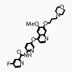 COc1cc2c(Oc3ccc(NC(=O)c4cc(F)ccn4)nc3)ccnc2cc1OCCCN1CCOCC1